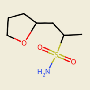 CC(CC1CCCO1)S(N)(=O)=O